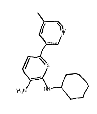 Cc1cncc(-c2ccc(N)c(NC3CCCCC3)n2)c1